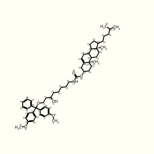 COc1ccc(C(OCCC(O)CCCCCNC(=O)O[C@@H]2CC[C@]3(C)C(=CCC4C5CCC(CCCC(C)C)[C@]5(C)CCC43)C2)(c2ccccc2)c2ccc(OC)cc2)cc1